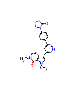 Cn1ccc2c(-c3cncc(-c4ccc(N5CCCC5=O)cc4)c3)cn(C)c2c1=O